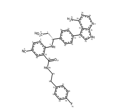 N#Cc1cnc(N[C@H](CC(=O)O)c2ccc(-c3c[nH]c4ncnc(N)c34)cc2)c(C(=O)NCCc2ccc(F)cc2)c1